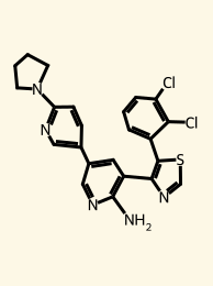 Nc1ncc(-c2ccc(N3CCCC3)nc2)cc1-c1ncsc1-c1cccc(Cl)c1Cl